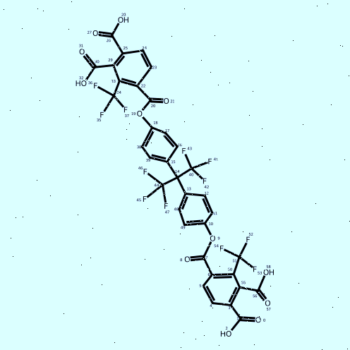 O=C(O)c1ccc(C(=O)Oc2ccc(C(c3ccc(OC(=O)c4ccc(C(=O)O)c(C(=O)O)c4C(F)(F)F)cc3)(C(F)(F)F)C(F)(F)F)cc2)c(C(F)(F)F)c1C(=O)O